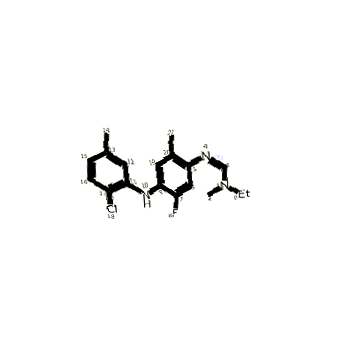 CCN(C)/C=N\c1cc(F)c(Nc2cc(C)ccc2Cl)cc1C